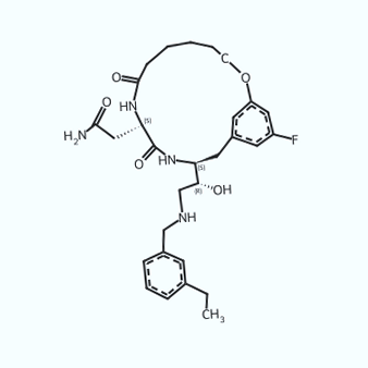 CCc1cccc(CNC[C@@H](O)[C@@H]2Cc3cc(F)cc(c3)OCCCCCC(=O)N[C@@H](CC(N)=O)C(=O)N2)c1